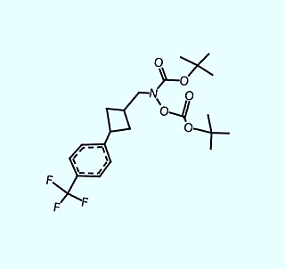 CC(C)(C)OC(=O)ON(CC1CC(c2ccc(C(F)(F)F)cc2)C1)C(=O)OC(C)(C)C